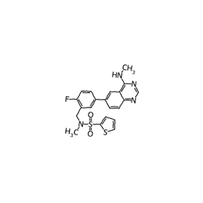 CNc1ncnc2ccc(-c3ccc(F)c(CN(C)S(=O)(=O)c4cccs4)c3)cc12